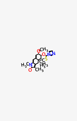 CO[C@@H]1C=C2C=C3C(=C(C)C(=O)N3C)C[C@]2(C)[C@@H](C)[C@H]1OC(=S)n1ccnc1